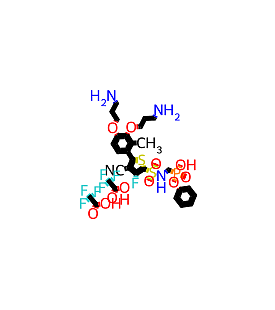 Cc1c(-c2sc(S(=O)(=O)NCP(=O)(O)Oc3ccccc3)c(F)c2C#N)ccc(OCCCN)c1OCCCN.O=C(O)C(F)(F)F.O=C(O)C(F)(F)F